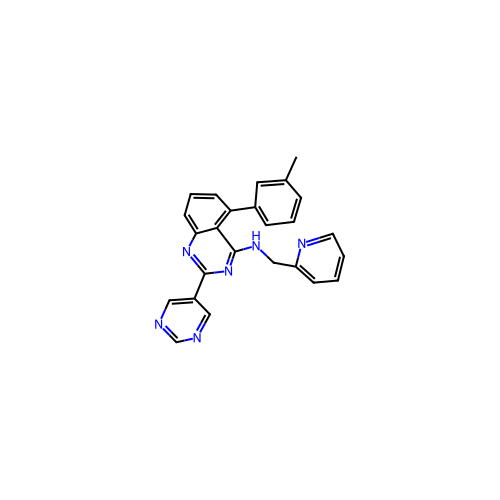 Cc1cccc(-c2cccc3nc(-c4cncnc4)nc(NCc4ccccn4)c23)c1